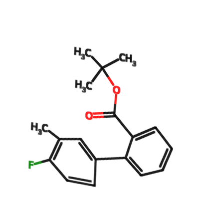 Cc1cc(-c2ccccc2C(=O)OC(C)(C)C)ccc1F